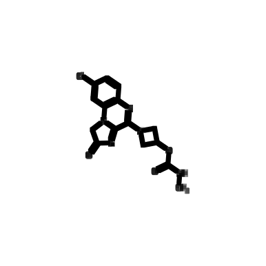 CNC(=O)OC1CN(C2=Nc3ccc(Cl)cc3N3CC(=O)N=C23)C1